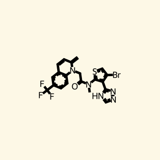 C=C1C=Cc2cc(C(F)(F)F)ccc2N1CC(=O)N(C)c1scc(Br)c1-c1nnc[nH]1